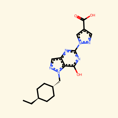 CC[C@H]1CC[C@H](Cn2ncc3nc(-n4cc(C(=O)O)cn4)nc(O)c32)CC1